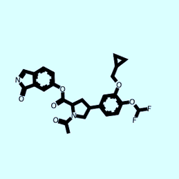 CC(=O)N1CC(c2ccc(OC(F)F)c(OCC3CC3)c2)CC1C(=O)Oc1ccc2c(c1)C(=O)N=C2